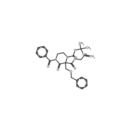 C=CCOC(=O)C1(COCc2ccccc2)C(=O)N(C(=O)c2ccccc2)CCN1C(=O)OC(C)(C)C